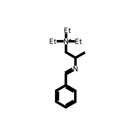 CC[N+](CC)(CC)CC(C)/N=C/c1ccccc1